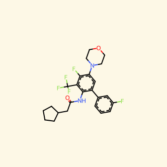 O=C(CC1CCCC1)Nc1c(-c2cccc(F)c2)cc(N2CCOCC2)c(F)c1C(F)(F)F